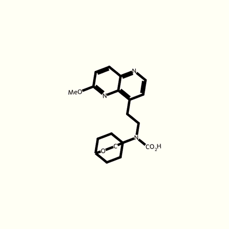 COc1ccc2nccc(CCN(C(=O)O)C34CCC(CC3)OC4)c2n1